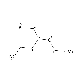 COCOC(CBr)CCC#N